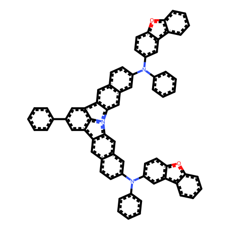 c1ccc(-c2cc3c4cc5ccc(N(c6ccccc6)c6ccc7oc8ccccc8c7c6)cc5cc4n4c5cc6cc(N(c7ccccc7)c7ccc8oc9ccccc9c8c7)ccc6cc5c(c2)c34)cc1